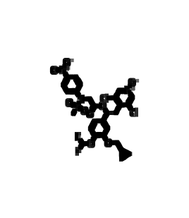 CS(=O)(=O)N(CC(=O)O[C@@H](Cc1c(Cl)c[n+]([O-])cc1Cl)c1ccc(OC(F)F)c(OCC2CC2)c1)c1ccc([N+](=O)[O-])cc1